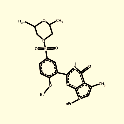 CCCn1cc(C)c2c(=O)[nH]c(-c3cc(S(=O)(=O)N4CC(C)OC(C)C4)ccc3OCC)nc21